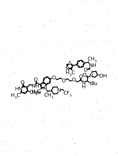 COc1cc(C)[nH]c(=O)c1CNC(=O)c1c(C)n([C@@H](C)C2CCN(CC(F)(F)F)CC2)c2cc(OCCOCCOCC(=O)NC(C(=O)N3C[C@H](O)C[C@H]3C(=O)N[C@@H](C)c3ccc(-c4scnc4C)cc3)C(C)(C)C)ccc12